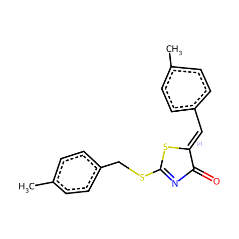 Cc1ccc(/C=C2\SC(SCc3ccc(C)cc3)=NC2=O)cc1